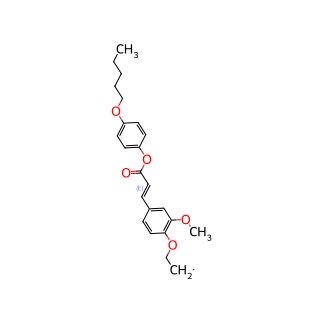 [CH2]COc1ccc(/C=C/C(=O)Oc2ccc(OCCCCC)cc2)cc1OC